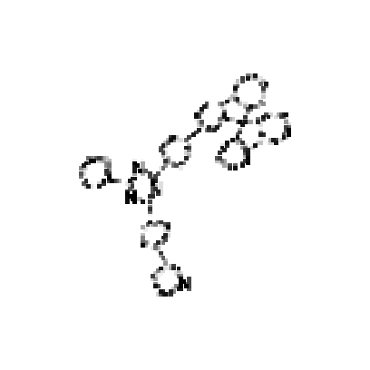 c1ccc(-c2nc(-c3ccc(-c4cccnc4)cc3)nc(-c3ccc(-c4ccc5c(c4)C4(c6ccccc6-c6ccccc64)c4ccccc4-5)cc3)n2)cc1